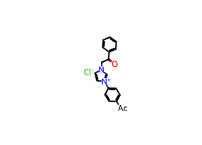 CC(=O)c1ccc(-[n+]2ccn(CC(=O)c3ccccc3)c2)cc1.[Cl-]